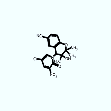 CC1(C)Oc2ccc(C#N)cc2C(n2cc(Cl)cc([N+](=O)[O-])c2=O)C1(C)O